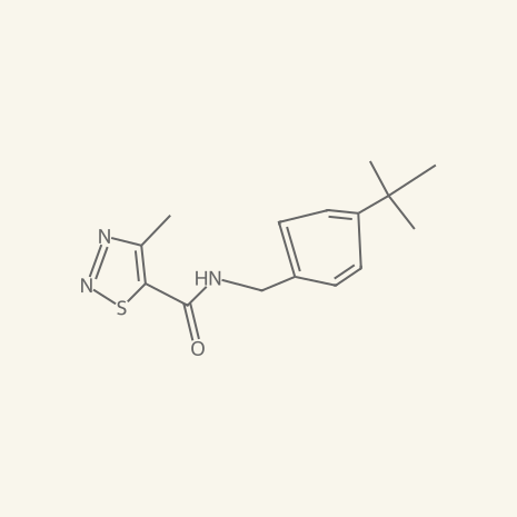 Cc1nnsc1C(=O)NCc1ccc(C(C)(C)C)cc1